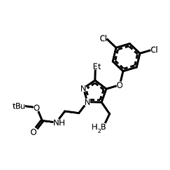 BCc1c(Oc2cc(Cl)cc(Cl)c2)c(CC)nn1CCNC(=O)OC(C)(C)C